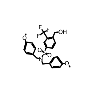 COc1ccc(CN(Cc2ccc(OC)cc2)S(=O)(=O)c2ccc(CO)c(C(F)(F)F)c2)cc1